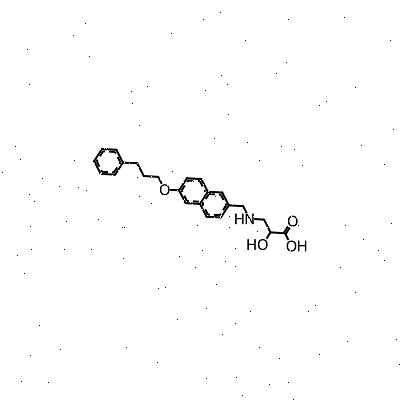 O=C(O)C(O)CNCc1ccc2cc(OCCCc3ccccc3)ccc2c1